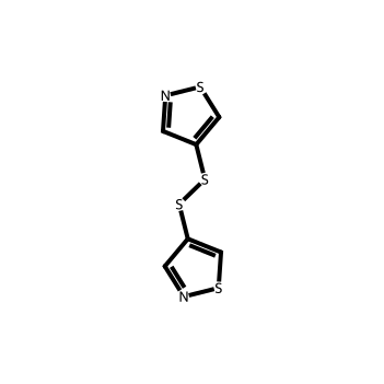 c1nscc1SSc1cnsc1